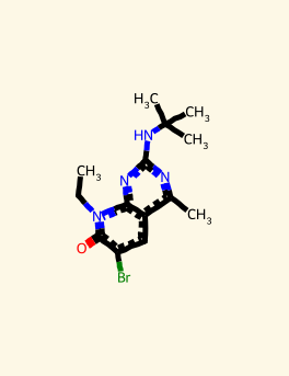 CCn1c(=O)c(Br)cc2c(C)nc(NC(C)(C)C)nc21